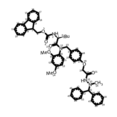 CC[C@H](C)[C@H](NC(=O)OCC1c2ccccc2-c2ccccc21)C(=O)N(Cc1ccc(OCC(=O)NN(C)C(c2ccccc2)c2ccccc2)cc1)c1ccc(OC)cc1OC